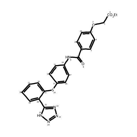 CCOC(=O)COc1ccc(C(=O)Nc2ccc(Sc3ccccc3-c3nnn[nH]3)cc2)cc1